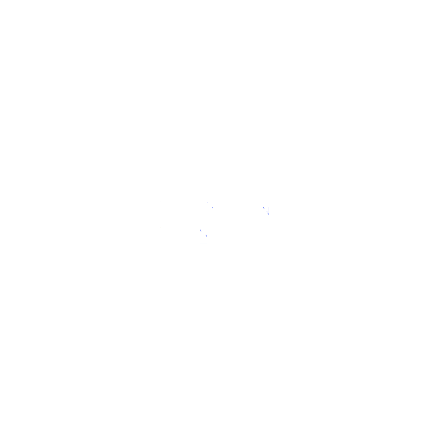 c1ccc(-c2nc(-c3cccnc3)[nH]c2-c2cccs2)cc1